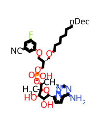 CCCCCCCCCCCCCCCCCOC[C@@H](COc1cc(F)cc(C#N)c1)COP(=O)(O)O[C@@H](C)[C@@]1(C)O[C@@H](c2ccc3c(N)ncnn23)[C@H](O)[C@@H]1O